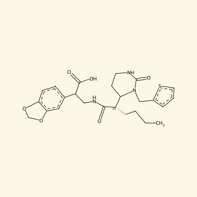 CCCC[C@H](C(=O)NCC(C(=O)O)c1ccc2c(c1)OCO2)C1CCNC(=O)N1Cc1cccs1